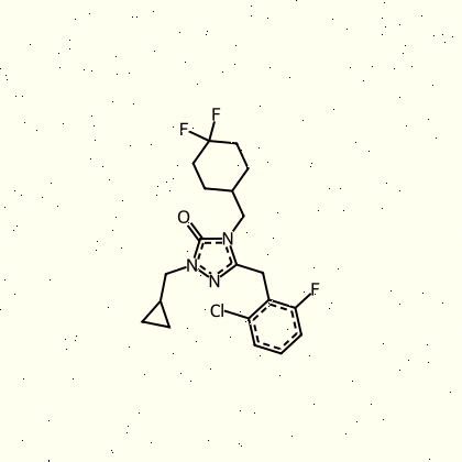 O=c1n(CC2CC2)nc(Cc2c(F)cccc2Cl)n1CC1CCC(F)(F)CC1